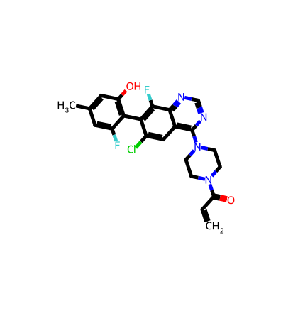 C=CC(=O)N1CCN(c2ncnc3c(F)c(-c4c(O)cc(C)cc4F)c(Cl)cc23)CC1